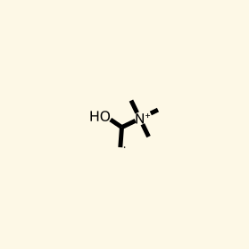 [CH2]C(O)[N+](C)(C)C